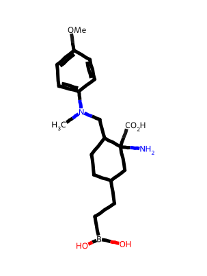 COc1ccc(N(C)CC2CCC(CCB(O)O)CC2(N)C(=O)O)cc1